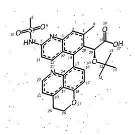 Cc1cc2nc(NS(C)(=O)=O)ccc2c(-c2ccc3c4c(ccnc24)CCO3)c1[C@H](OC(C)(C)C)C(=O)O